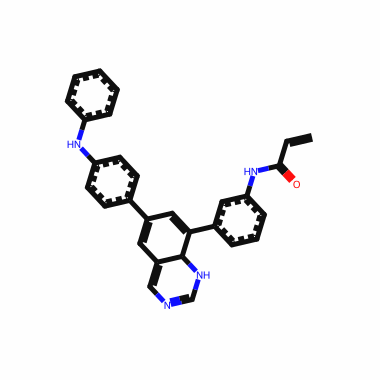 C=CC(=O)Nc1cccc(C2=CC(c3ccc(Nc4ccccc4)cc3)=CC3=CN=CNC32)c1